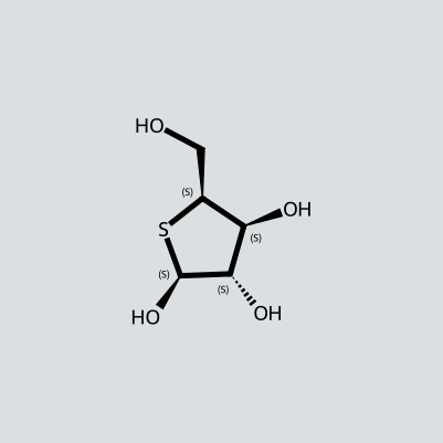 OC[C@@H]1S[C@H](O)[C@@H](O)[C@@H]1O